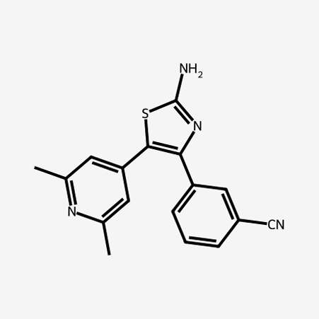 Cc1cc(-c2sc(N)nc2-c2cccc(C#N)c2)cc(C)n1